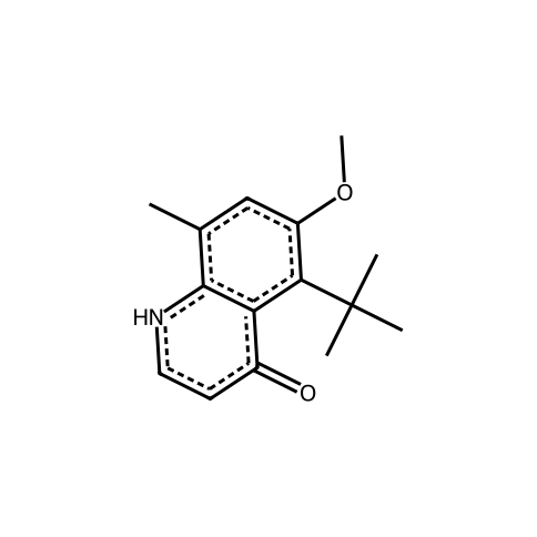 COc1cc(C)c2[nH]ccc(=O)c2c1C(C)(C)C